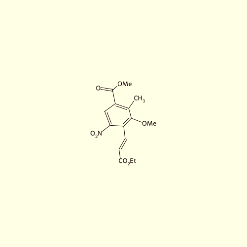 CCOC(=O)C=Cc1c([N+](=O)[O-])cc(C(=O)OC)c(C)c1OC